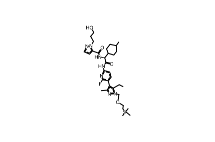 CCc1c(-c2ccc(NC(=O)[C@@H](NC(=O)c3ccnn3CCCO)C3CCC(C)CC3)nc2F)c(C)nn1COCC[Si](C)(C)C